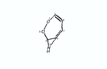 C1=COOC2NC2=C1